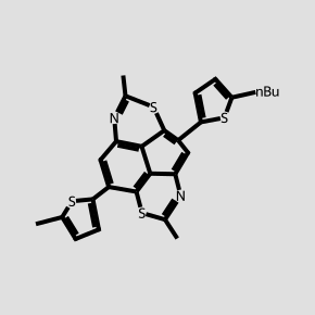 CCCCc1ccc(-c2cc3c4c(c(-c5ccc(C)s5)cc5c4c2SC(C)=N5)SC(C)=N3)s1